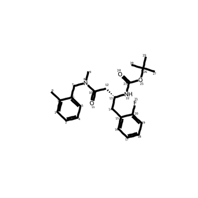 Cc1ccccc1CN(C)C(=O)C[C@@H](Cc1ccccc1F)NC(=O)OC(C)(C)C